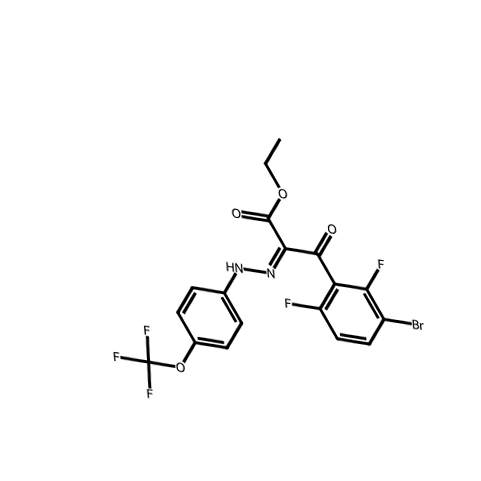 CCOC(=O)/C(=N\Nc1ccc(OC(F)(F)F)cc1)C(=O)c1c(F)ccc(Br)c1F